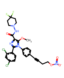 COc1c(C(=O)NN2CCC(F)(F)CC2)nc(-c2ccc(Cl)cc2Cl)n1-c1ccc(C#CCCO[N+](=O)[O-])cc1